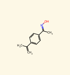 C=C(C)c1ccc(C(C)=NO)cc1